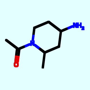 CC(=O)N1CCC(N)CC1C